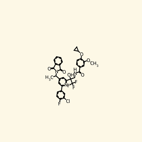 COc1cc(C(=O)NCC(O)(c2cc(C(C)N3C(=O)c4ccccc4C3=O)cc(-c3ccc(F)c(Cl)c3)n2)C(F)(F)F)ccc1OC1CC1